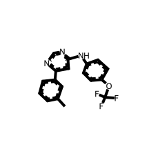 Cc1cccc(-c2cc(Nc3ccc(OC(F)(F)F)cc3)ncn2)c1